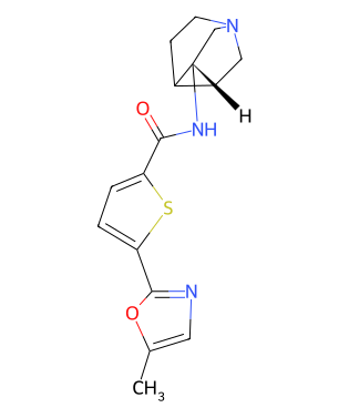 Cc1cnc(-c2ccc(C(=O)N[C@H]3CN4CCC3CC4)s2)o1